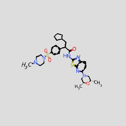 C[C@@H]1CN(c2ccc3nc(NC(=O)C(CC4CCCC4)c4ccc(S(=O)(=O)N5CCN(C)CC5)cc4)sc3n2)C[C@H](C)O1